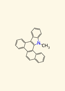 Cn1c2ccccc2c2c3ccccc3c3ccc4ccccc4c3c21